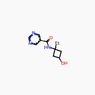 CCC1(NC(=O)c2cncnc2)CC(O)C1